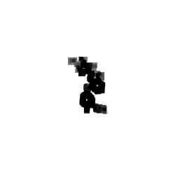 Cc1ccc(Oc2cccc(Cl)c2CNc2nnc(N)[nH]2)cc1O